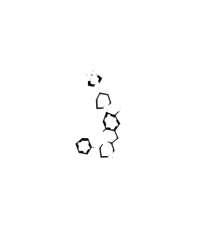 C[C@@H]1NC[C@@H](c2ccccc2)SC1Cc1cc(F)c(N2CC[C@@H](n3cnnc3)[C@@H](F)C2)cc1F